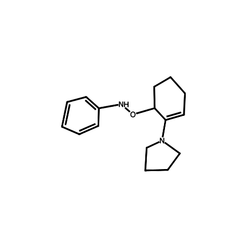 C1=C(N2CCCC2)C(ONc2ccccc2)CCC1